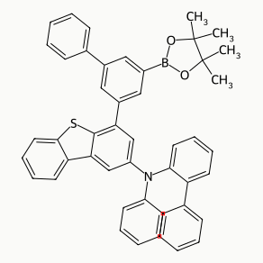 CC1(C)OB(c2cc(-c3ccccc3)cc(-c3cc(N(c4ccccc4)c4ccccc4-c4ccccc4)cc4c3sc3ccccc34)c2)OC1(C)C